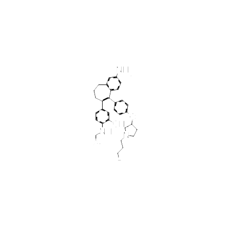 CC(=O)CNc1ccc(C2=C(c3ccc(OC4CCN(CCCF)C4)cc3)c3ccc(N)cc3CCC2)cc1C